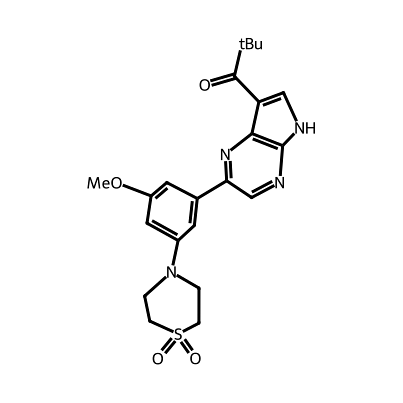 COc1cc(-c2cnc3[nH]cc(C(=O)C(C)(C)C)c3n2)cc(N2CCS(=O)(=O)CC2)c1